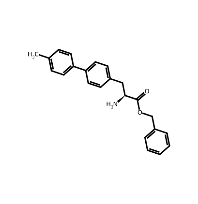 Cc1ccc(-c2ccc(C[C@H](N)C(=O)OCc3ccccc3)cc2)cc1